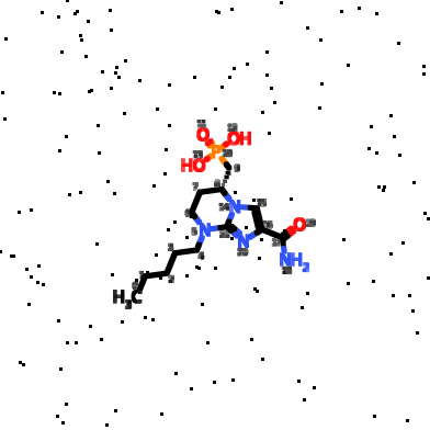 CCCCCN1CC[C@H](CP(=O)(O)O)n2cc(C(N)=O)nc21